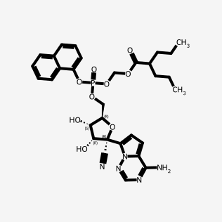 CCCC(CCC)C(=O)OCOP(=O)(OC[C@H]1O[C@@](C#N)(c2ccc3c(N)ncnn23)[C@H](O)[C@@H]1O)Oc1cccc2ccccc12